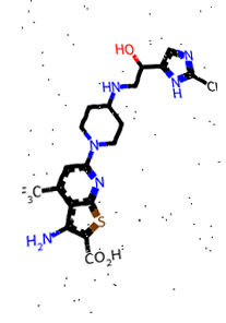 Cc1ncc(C(O)CNC2CCN(c3cc(C(F)(F)F)c4c(N)c(C(=O)O)sc4n3)CC2)[nH]1